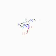 C#CCN=Cc1cc(C(=O)NOCCO)c(Nc2ccc(I)cc2F)c(F)c1F